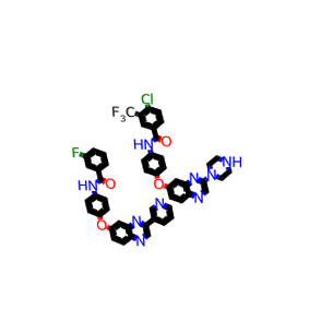 O=C(Nc1ccc(Oc2ccc3ncc(-c4cccnc4)nc3c2)cc1)c1cccc(F)c1.O=C(Nc1ccc(Oc2ccc3ncc(N4CCNCC4)nc3c2)cc1)c1ccc(Cl)c(C(F)(F)F)c1